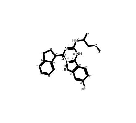 COCC(C)N/C(=N/C(=O)C1CCc2ccccc21)Nc1n[nH]c2cc(F)ccc12